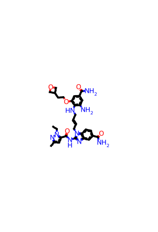 CCn1nc(C)cc1C(=O)Nc1nc2cc(C(N)=O)ccc2n1C/C=C/CNc1c(N)cc(C(N)=O)cc1OCCC1COC1